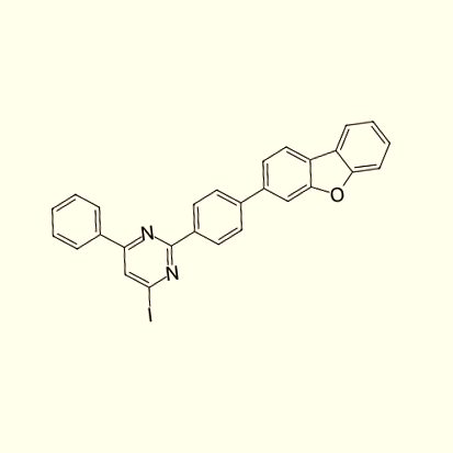 Ic1cc(-c2ccccc2)nc(-c2ccc(-c3ccc4c(c3)oc3ccccc34)cc2)n1